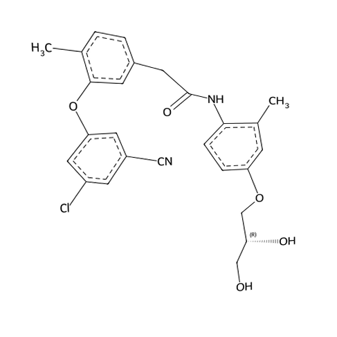 Cc1cc(OC[C@H](O)CO)ccc1NC(=O)Cc1ccc(C)c(Oc2cc(Cl)cc(C#N)c2)c1